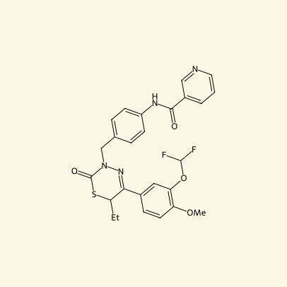 CCC1SC(=O)N(Cc2ccc(NC(=O)c3cccnc3)cc2)N=C1c1ccc(OC)c(OC(F)F)c1